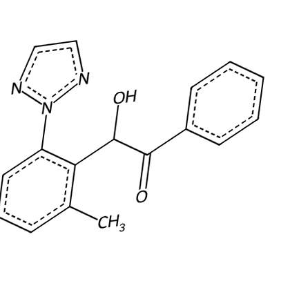 Cc1cccc(-n2nccn2)c1C(O)C(=O)c1ccccc1